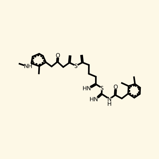 C=C(CCCC(=N)SC(=N)NC(=O)Cc1cccc(C)c1C)SC(=C)CC(=O)Cc1cccc(NC)c1C